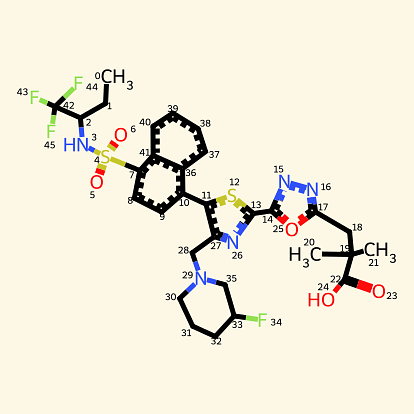 CCC(NS(=O)(=O)c1ccc(-c2sc(-c3nnc(CC(C)(C)C(=O)O)o3)nc2CN2CCCC(F)C2)c2ccccc12)C(F)(F)F